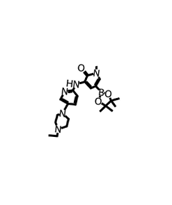 CCN1CCN(c2ccc(Nc3cc(B4OC(C)(C)C(C)(C)O4)cn(C)c3=O)nc2)CC1